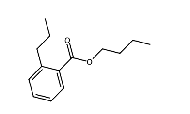 CCCCOC(=O)c1ccccc1CCC